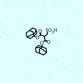 O=C(OC12CC3CC(CC(C3)C1)C2)C(CS(=O)(=O)O)C(=O)OC12CC3CC(CC(C3)C1)C2